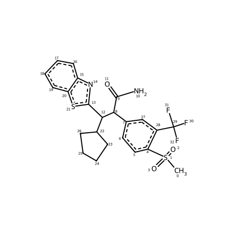 CS(=O)(=O)c1ccc(C(C(N)=O)C(c2nc3ccccc3s2)C2CCCC2)cc1C(F)(F)F